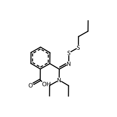 CCCSS/N=C(\c1ccccc1C(=O)O)N(CC)CC